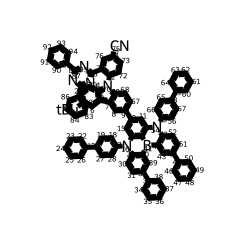 CC(C)(C)c1ccc2c(c1)c1cc(-c3cc4c5c(c3)N(c3ccc(-c6ccccc6)cc3)c3ccc(-c6ccccc6)cc3B5c3cc(-c5ccccc5)ccc3N4c3ccc(-c4ccccc4)cc3)ccc1n2-c1ccc(C#N)cc1-c1nc(-c2ccccc2)nc(-c2ccccc2)n1